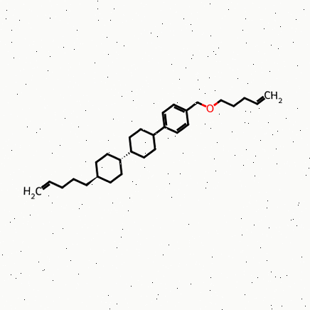 C=CCCCOCc1ccc(C2CCC([C@H]3CC[C@H](CCCC=C)CC3)CC2)cc1